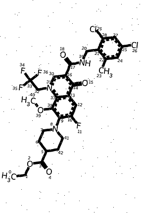 CCOC(=O)C1CCN(c2c(F)cc3c(=O)c(C(=O)NCc4c(C)cc(Cl)cc4Cl)cn(CC(F)(F)F)c3c2OC)CC1